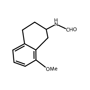 COc1cccc2c1CC(NC=O)CC2